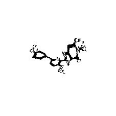 CCSc1ccc(-c2ccc(OC(F)(F)F)cc2)nc1-c1nc2cc(C(F)(F)F)n(CC)c(=O)c2n1C